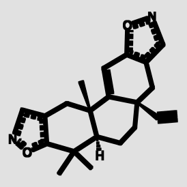 C#C[C@@]12CC[C@H]3C(C)(C)c4oncc4C[C@]3(C)C1=Cc1oncc1C2